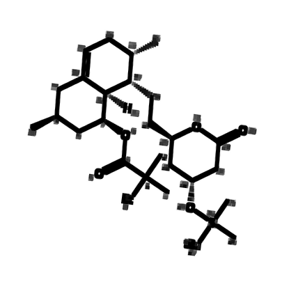 CCC(C)(C)C(=O)O[C@H]1C[C@@H](C)CC2=CC[C@H](C)[C@H](CC[C@@H]3C[C@@H](O[Si](C)(C)C(C)(C)C)CC(=O)O3)[C@H]21